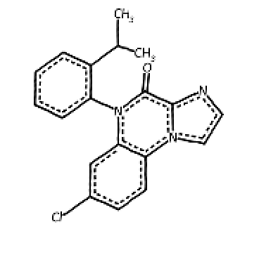 CC(C)c1ccccc1-n1c(=O)c2nccn2c2ccc(Cl)cc21